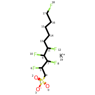 O=S(=O)([O-])CC(F)C(F)C(F)C(F)CCCCCF.[K+]